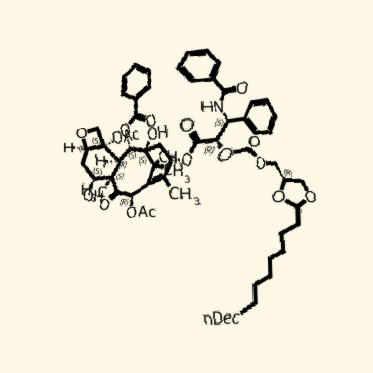 CCCCCCCCCCCCCCCCCC1OC[C@H](COC(=O)O[C@@H](C(=O)O[C@H]2C[C@@]3(O)[C@@H](OC(=O)c4ccccc4)[C@@H]4[C@]5(OC(C)=O)CO[C@@H]5C[C@H](O)[C@@]4(C)C(=O)[C@H](OC(C)=O)C(=C2C)C3(C)C)[C@@H](NC(=O)c2ccccc2)c2ccccc2)O1